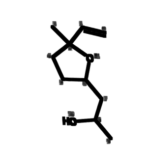 C=CC1(C)CCC(CC(C)O)O1